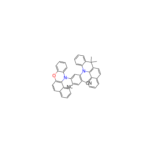 CC1(C)c2ccccc2N(c2cc(N3c4ccccc4Oc4ccc5ccccc5c43)c(C#N)cc2C#N)c2c1ccc1ccccc21